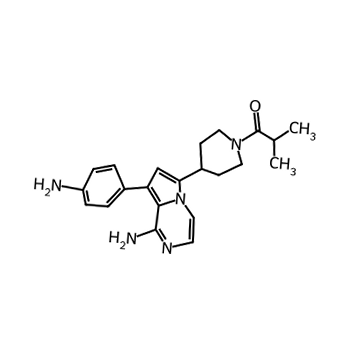 CC(C)C(=O)N1CCC(c2cc(-c3ccc(N)cc3)c3c(N)nccn23)CC1